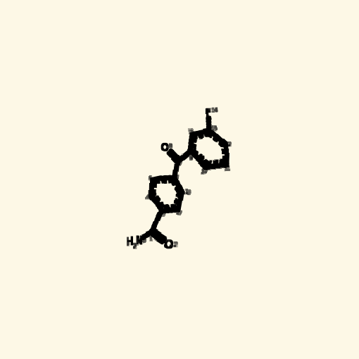 NC(=O)c1ccc(C(=O)c2cccc(F)c2)cc1